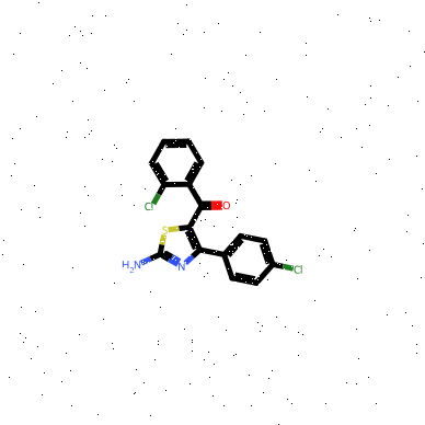 Nc1nc(-c2ccc(Cl)cc2)c(C(=O)c2ccccc2Cl)s1